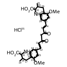 COc1cc(C=CC(=O)CC(=O)C=Cc2ccc(CC(C)C(N)C(=O)O)c(OC)c2)ccc1CC(C)C(N)C(=O)O.Cl